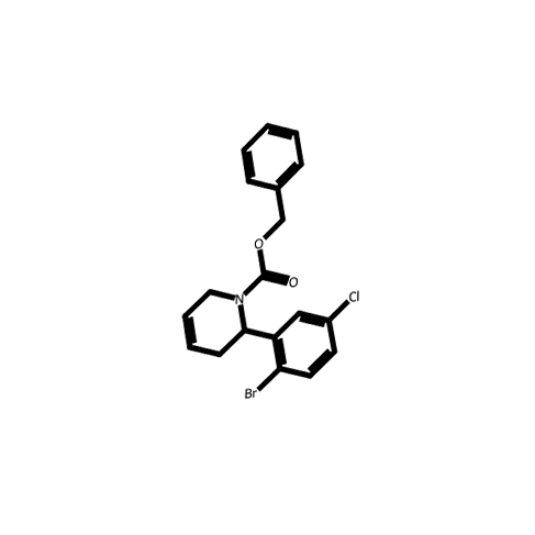 O=C(OCc1ccccc1)N1CC=CCC1c1cc(Cl)ccc1Br